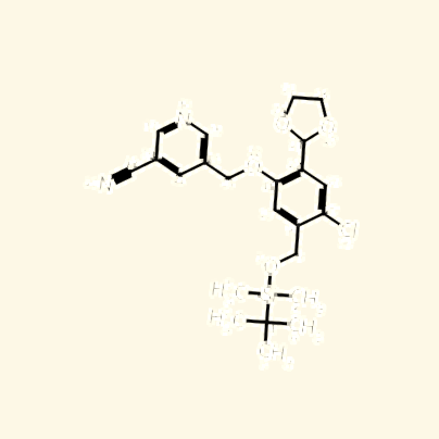 CC(C)(C)[Si](C)(C)OCc1cc(OCc2cncc(C#N)c2)c(C2OCCO2)cc1Cl